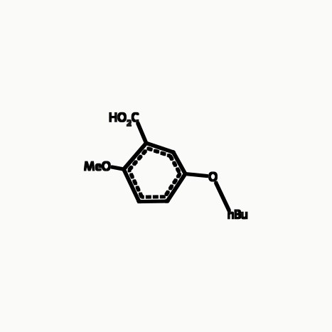 CCCCOc1ccc(OC)c(C(=O)O)c1